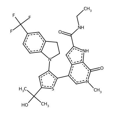 CCNC(=O)c1cc2c(-c3sc(C(C)(C)O)cc3N3CCc4cc(C(F)(F)F)ccc43)cn(C)c(=O)c2[nH]1